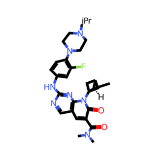 CC(C)N1CCN(c2ccc(Nc3ncc4cc(C(=O)N(C)C)c(=O)n(C56CC(C5)[C@H]6C)c4n3)cc2F)CC1